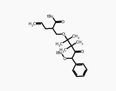 C=CCC(COC(C)(C)C(C)(C)C(=O)C(OC(C)(C)C)c1ccccc1)C(=O)C(C)(C)C